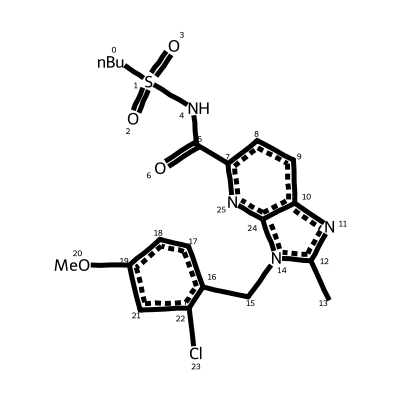 CCCCS(=O)(=O)NC(=O)c1ccc2nc(C)n(Cc3ccc(OC)cc3Cl)c2n1